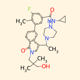 Cc1c(F)cc(C(=O)NC2CC2)cc1-c1ccc2c(=O)n(CC(C)(C)CO)cc(C(C)N3CCNCC3)c2c1